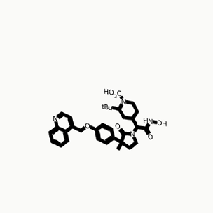 CC1(c2ccc(OCc3ccnc4ccccc34)cc2)CCN(C(C(=O)NO)C2CCN(C(=O)O)C(C(C)(C)C)C2)C1=O